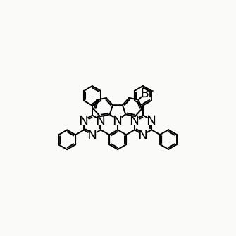 Brc1ccc2c(c1)c1ccccc1n2-c1c(-c2nc(-c3ccccc3)nc(-c3ccccc3)n2)cccc1-c1nc(-c2ccccc2)nc(-c2ccccc2)n1